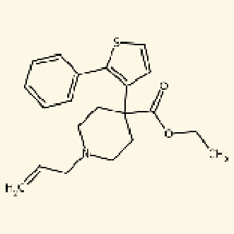 C=CCN1CCC(C(=O)OCC)(c2ccsc2-c2ccccc2)CC1